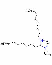 CCCCCCCCCCCCCCCCC1N(C)C=CN1CCCCCCCCCCCCCCCC